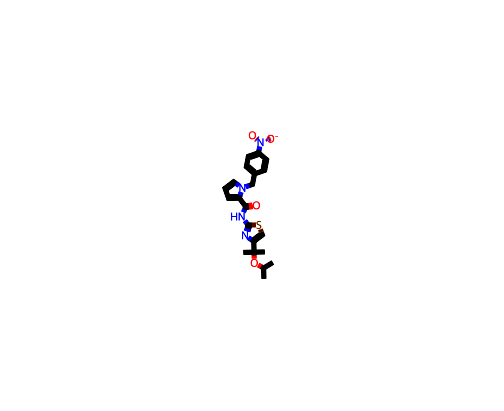 CC(C)OC(C)(C)c1csc(NC(=O)c2cccn2Cc2ccc([N+](=O)[O-])cc2)n1